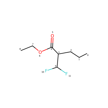 CC[CH]C(C(=O)OCC)C(F)F